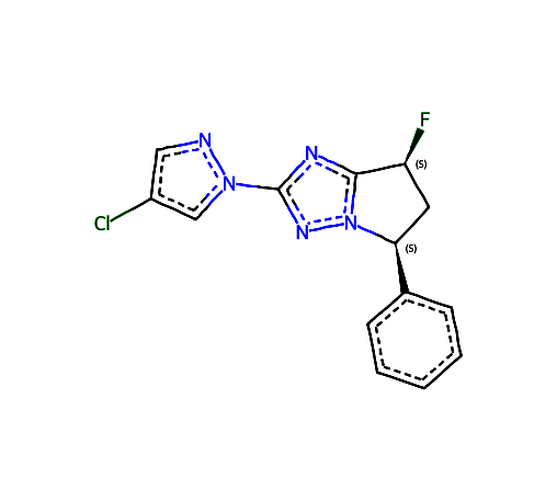 F[C@H]1C[C@@H](c2ccccc2)n2nc(-n3cc(Cl)cn3)nc21